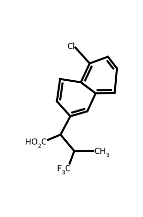 CC(C(C(=O)O)c1ccc2c(Cl)cccc2c1)C(F)(F)F